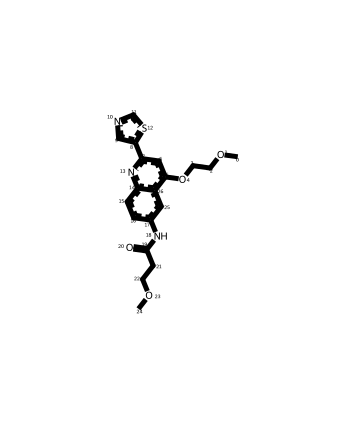 COCCOc1cc(-c2cncs2)nc2ccc(NC(=O)CCOC)cc12